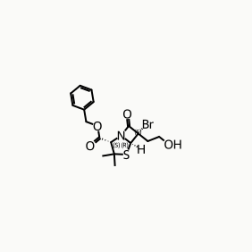 CC1(C)S[C@H]2N(C(=O)[C@@]2(Br)CCO)[C@H]1C(=O)OCc1ccccc1